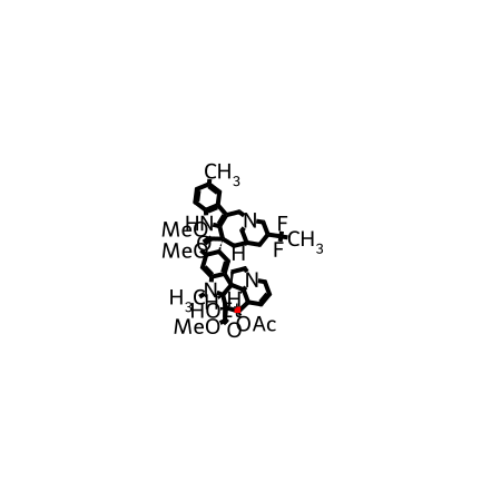 CC[C@]12C=CCN3CC[C@@]4(C5=CC([C@@]6(C(=O)OC)C[C@H]7CC(C(C)(F)F)CN(Cc8c6[nH]c6ccc(C)cc86)C7)C(OC)C=C5N(C)[C@H]4[C@@](O)(C(=O)OC)[C@@H]1OC(C)=O)[C@@H]32